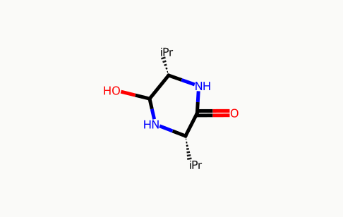 CC(C)[C@@H]1NC(=O)[C@H](C(C)C)NC1O